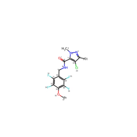 CCc1nn(C)c(C(=O)NCc2c(F)c(F)c(OC(C)C)c(F)c2F)c1Cl